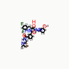 COc1cccc(CNC[C@@H](O)[C@H](Cc2cc(F)cc(F)c2)NC(=O)c2cccc(C(=O)N(C)Cc3nc(C)cs3)c2)c1